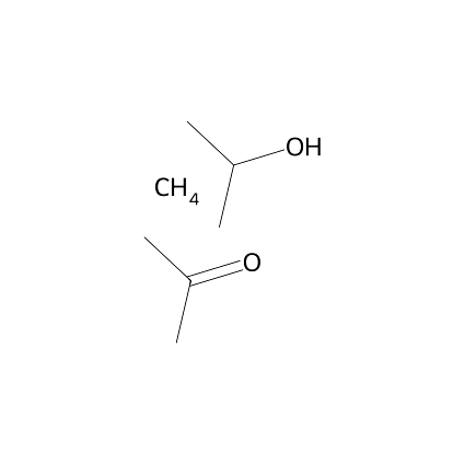 C.CC(C)=O.CC(C)O